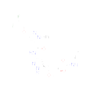 CC(C)n1nc(OCC(F)F)cc1C(=O)Nc1cc([C@H]2C[C@@H](OC(=O)NC34CC(C3)C4)CO2)[nH]n1